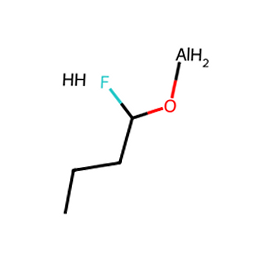 CCCC(F)[O][AlH2].[HH]